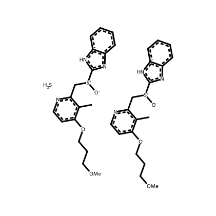 COCCCOc1ccnc(C[S+]([O-])c2nc3ccccc3[nH]2)c1C.COCCCOc1ccnc(C[S+]([O-])c2nc3ccccc3[nH]2)c1C.S